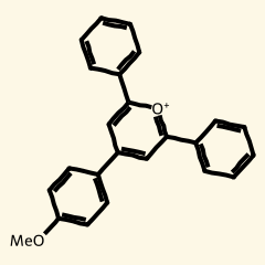 COc1ccc(-c2cc(-c3ccccc3)[o+]c(-c3ccccc3)c2)cc1